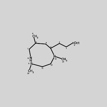 CCCCCCCCCCC1CC(C)CNN(C)CCN1C